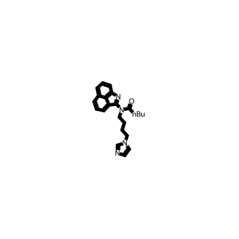 CCCCC(=O)N(CCCCn1ccnc1)C1=Nc2cccc3cccc1c23